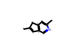 CC1=Cc2cnc(C)cc2C1